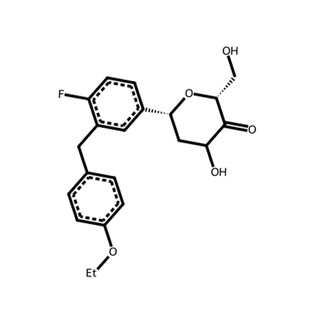 CCOc1ccc(Cc2cc([C@H]3CC(O)C(=O)[C@@H](CO)O3)ccc2F)cc1